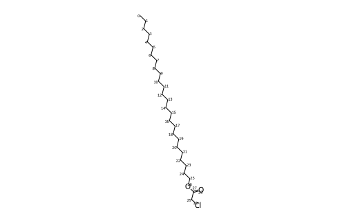 CCCCCCCCCCCCCCCCCCCCCCCCCCOC(=O)CCl